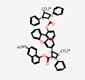 CC(=O)Nc1ccc2c(OC(=O)[C@@H]3[C@@H](c4ccccc4)[C@@H](C(=O)O)[C@@H]3c3cccc(Oc4ccccc4-c4ccccc4OC(=O)[C@H]4[C@@H](c5ccccc5)[C@H](C(=O)O)[C@@H]4c4ccccc4)c3)cccc2c1